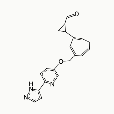 O=CC1CC1C1=CCC=CC(COc2ccc(-c3ccn[nH]3)nc2)=C1